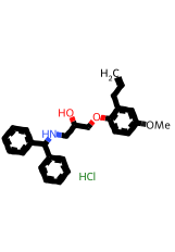 C=CCc1cc(OC)ccc1OCC(O)CNC(c1ccccc1)c1ccccc1.Cl